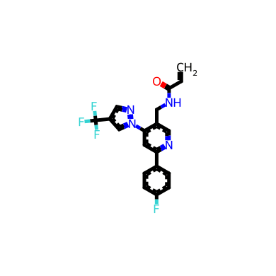 C=CC(=O)NCc1cnc(-c2ccc(F)cc2)cc1-n1cc(C(F)(F)F)cn1